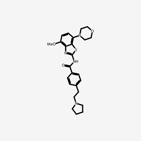 COc1ccc(N2CCOCC2)c2sc(NC(=O)c3ccc(CCN4CCCC4)cc3)nc12